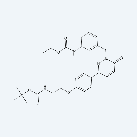 CCOC(=O)Nc1cccc(Cn2nc(-c3ccc(OCCNC(=O)OC(C)(C)C)cc3)ccc2=O)c1